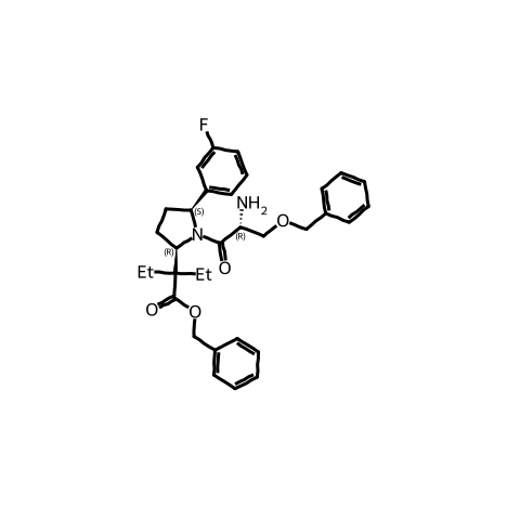 CCC(CC)(C(=O)OCc1ccccc1)[C@H]1CC[C@@H](c2cccc(F)c2)N1C(=O)[C@H](N)COCc1ccccc1